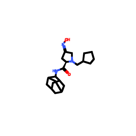 O=C(NC1C2CC3CC(C2)CC1C3)[C@H]1CC(=NO)CN1CC1CCCC1